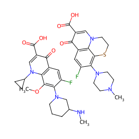 CN1CCN(c2c(F)cc3c(=O)c(C(=O)O)cn4c3c2SCC4)CC1.CNC1CCCN(c2c(F)cc3c(=O)c(C(=O)O)cn(C4CC4)c3c2OC)C1